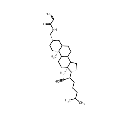 C#C[C@H](CCCC(C)C)[C@H]1CCC2C3CCC4C[C@@H](CNC(=O)C=C)CC[C@]4(C)C3CC[C@@]21C